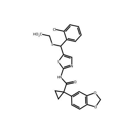 O=C(O)CSC(c1cnc(NC(=O)C2(c3ccc4c(c3)OCO4)CC2)s1)c1ccccc1Cl